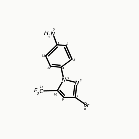 Nc1ccc(-n2nc(Br)cc2C(F)(F)F)cc1